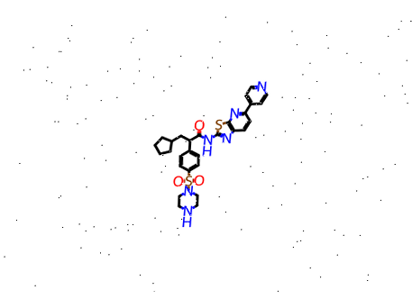 O=C(Nc1nc2ccc(-c3ccncc3)nc2s1)C(CC1CCCC1)c1ccc(S(=O)(=O)N2CCNCC2)cc1